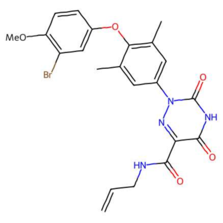 C=CCNC(=O)c1nn(-c2cc(C)c(Oc3ccc(OC)c(Br)c3)c(C)c2)c(=O)[nH]c1=O